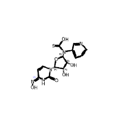 O=c1[nH]/c(=N\O)ccn1[C@@H]1O[C@@H](N(C(O)=S)c2cccnc2)[C@@H](O)[C@H]1O